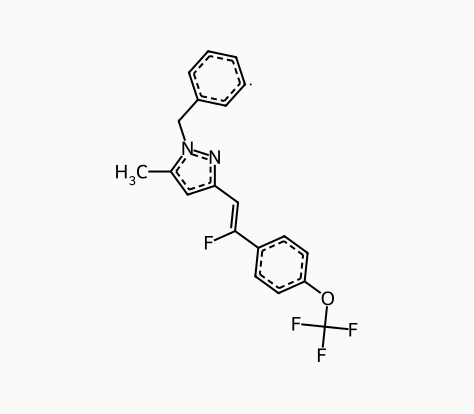 Cc1cc(C=C(F)c2ccc(OC(F)(F)F)cc2)nn1Cc1c[c]ccc1